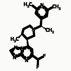 Cc1cc([C@H](C)N2CC[C@@H](C)[C@H](c3cc(C(F)F)nc4ncnn34)C2)cc(C)n1